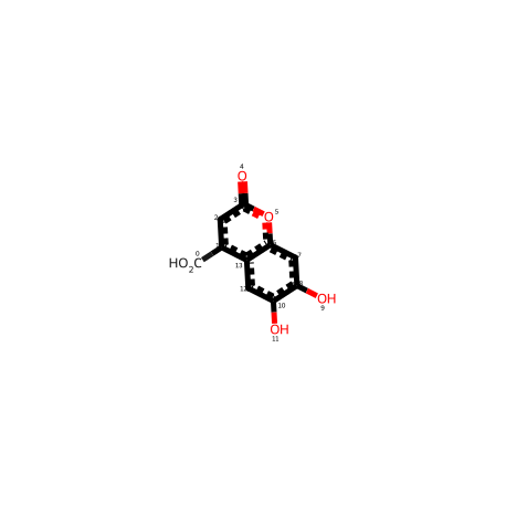 O=C(O)c1cc(=O)oc2cc(O)c(O)cc12